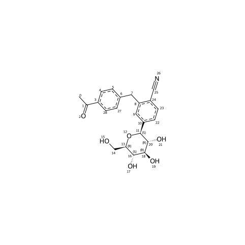 CC(=O)c1ccc(Cc2cc([C@@H]3O[C@H](CO)[C@@H](O)[C@H](O)[C@H]3O)ccc2C#N)cc1